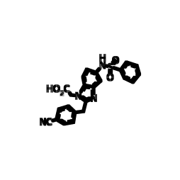 N#Cc1ccc(Cc2nc3cc(NS(=O)(=O)c4ccccc4)ccc3n2CC(=O)O)cc1